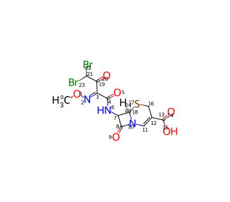 CON=C(C(=O)NC1C(=O)N2C=C(C(=O)O)CS[C@H]12)C(=O)C(Br)Br